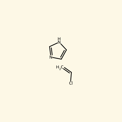 C=CCl.c1c[nH]cn1